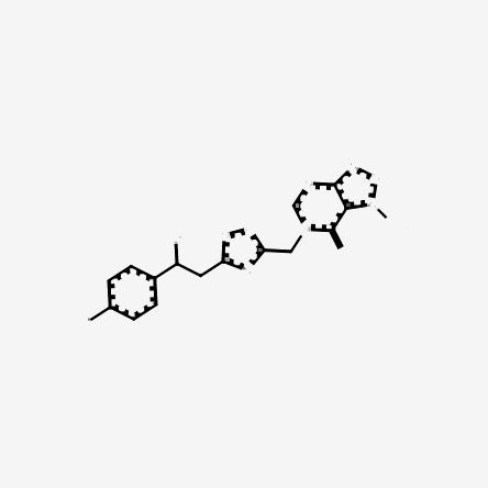 Cn1nnc2ncn(Cc3nc(CC(O)c4ccc(Cl)cc4)no3)c(=O)c21